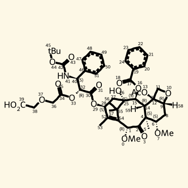 CO[C@H]1C(=O)[C@]2(C)[C@@H](OC)C[C@H]3OC[C@@]3(OC(C)=O)[C@H]2[C@H](OC(=O)c2ccccc2)[C@]2(O)C[C@H](OC(=O)[C@H](OC(=O)COCC(=O)O)[C@@H](NC(=O)OC(C)(C)C)c3ccccc3)C(C)=C1C2(C)C